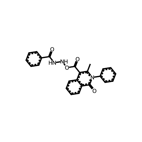 Cc1c(C(=O)ONNC(=O)c2ccccc2)c2ccccc2c(=O)n1-c1ccccc1